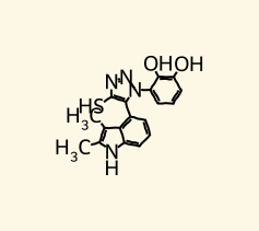 Cc1[nH]c2cccc(-c3c(S)nnn3-c3cccc(O)c3O)c2c1C